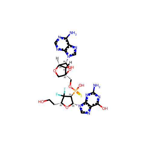 Nc1nc(O)c2ncn([C@@H]3O[C@H](CCO)C(F)(F)[C@H]3P(O)(=S)OC[C@@]34CO[C@@H]([C@H](n5cnc6c(N)ncnc65)O3)[C@@H]4O)c2n1